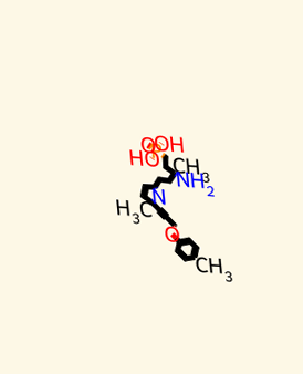 Cc1ccc(OCC#CC2(C)C=CC(CCC(C)(N)CCP(=O)(O)O)=N2)cc1